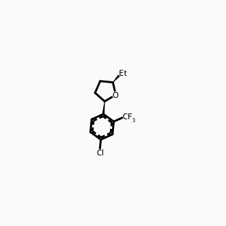 CC[C@@H]1CC[C@H](c2ccc(Cl)cc2C(F)(F)F)O1